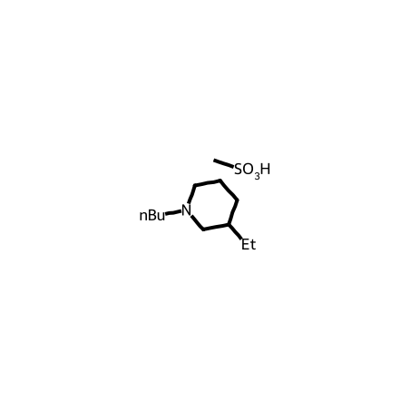 CCCCN1CCCC(CC)C1.CS(=O)(=O)O